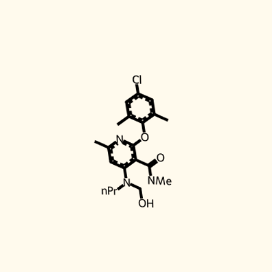 CCCN(CO)c1cc(C)nc(Oc2c(C)cc(Cl)cc2C)c1C(=O)NC